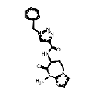 CN1C(=O)C(NC(=O)c2cn(Cc3ccccc3)nn2)CCn2ccnc21